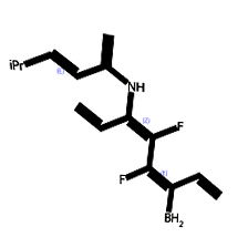 B/C(C=C)=C(F)/C(F)=C(\C=C)NC(=C)/C=C/C(C)C